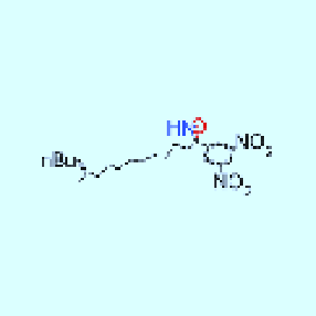 CCCCC=C(C)CCCCCCCCCC1(c2cc([N+](=O)[O-])cc([N+](=O)[O-])c2)NO1